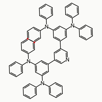 c1ccc(N(c2ccccc2)c2cc(-c3cncc(-c4cc(N(c5ccccc5)c5ccccc5)cc(N(c5ccccc5)c5ccccc5)c4)c3)cc(N(c3ccccc3)c3ccccc3)c2)cc1